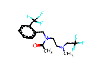 CC(=O)N(CCN(C)CC(F)(F)F)Cc1ccccc1C(F)(F)F